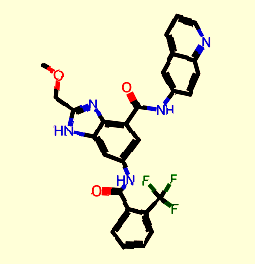 COCc1nc2c(C(=O)Nc3ccc4ncccc4c3)cc(NC(=O)c3ccccc3C(F)(F)F)cc2[nH]1